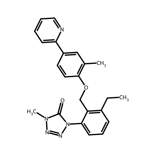 CCc1cccc(-n2nnn(C)c2=O)c1COc1ccc(-c2ccccn2)cc1C